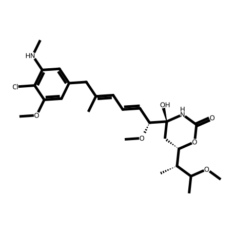 CNc1cc(C/C(C)=C/C=C/[C@@H](OC)[C@@]2(O)C[C@@H]([C@@H](C)C(C)OC)OC(=O)N2)cc(OC)c1Cl